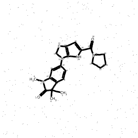 CN1C(=O)C(C)(C)c2ccc(N3COc4cc(C(=O)N5CCCC5)[nH]c43)cc21